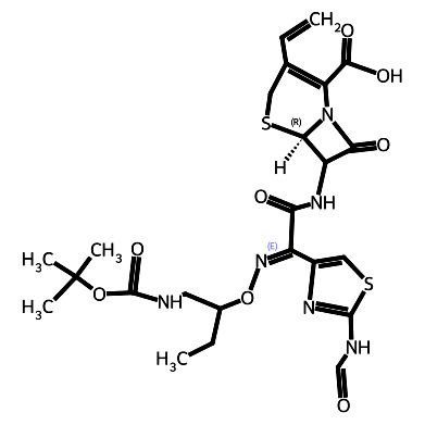 C=CC1=C(C(=O)O)N2C(=O)C(NC(=O)/C(=N/OC(CC)CNC(=O)OC(C)(C)C)c3csc(NC=O)n3)[C@H]2SC1